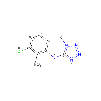 Cn1nnnc1Nc1cccc(Cl)c1[N+](=O)[O-]